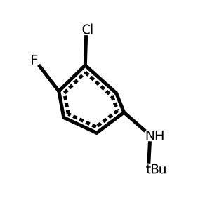 CC(C)(C)Nc1ccc(F)c(Cl)c1